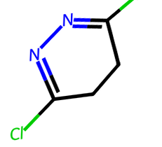 ClC1=NN=C(Cl)CC1